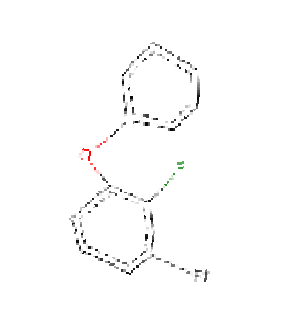 CCc1cccc(Oc2ccccc2)c1F